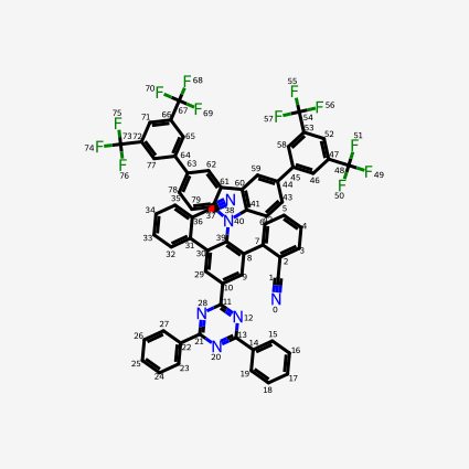 N#Cc1ccccc1-c1cc(-c2nc(-c3ccccc3)nc(-c3ccccc3)n2)cc(-c2ccccc2C#N)c1-n1c2ccc(-c3cc(C(F)(F)F)cc(C(F)(F)F)c3)cc2c2cc(-c3cc(C(F)(F)F)cc(C(F)(F)F)c3)ccc21